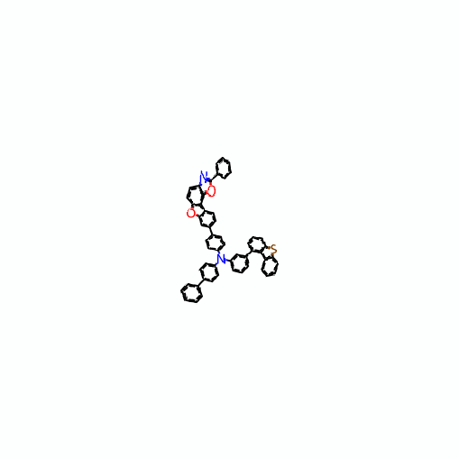 c1ccc(-c2ccc(N(c3ccc(-c4ccc5c(c4)oc4ccc6nc(-c7ccccc7)oc6c45)cc3)c3cccc(-c4cccc5sc6ccccc6c45)c3)cc2)cc1